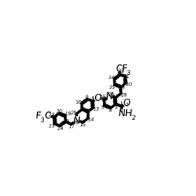 NC(=O)c1ccc(Oc2ccc3c(c2)CCN(Cc2ccc(C(F)(F)F)cc2)C3)nc1Cc1ccc(C(F)(F)F)cc1